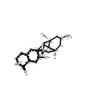 N[C@@H]1C[C@@H]2CS(=O)(=O)C[C@H](C1)[C@H]2Oc1cc2cc[nH]c(=O)c2cc1Cl